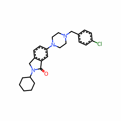 O=C1c2cc(N3CCN(Cc4ccc(Cl)cc4)CC3)ccc2CN1C1CCCCC1